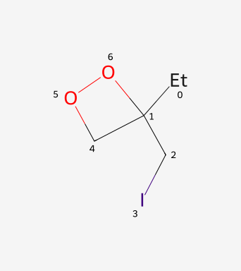 CCC1(CI)COO1